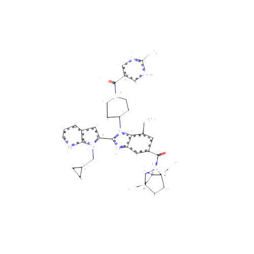 COc1cc(C(=O)N2C[C@H]3CC[C@@H]2[C@@H]3N)cc2nc(-c3cc4cccnc4n3CC3CC3)n(C3CCN(C(=O)c4cnc(C#N)nc4)CC3)c12